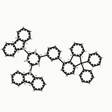 c1ccc(C2(c3ccccc3)c3ccccc3-c3c(-c4cccc(-c5nc(-n6c7ccccc7c7ccccc76)nc(-n6c7ccccc7c7ccccc76)n5)c4)cccc32)cc1